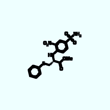 COC(=O)[C@H](CSc1ccccc1)Nc1ccc(S(N)(=O)=O)cc1[N+](=O)[O-]